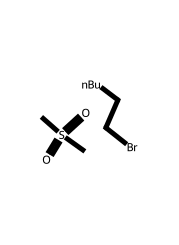 CCCCCCBr.CS(C)(=O)=O